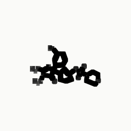 CN1C(=O)C(c2cccc(Br)c2)(c2cccc(OS(=O)(=O)N3CCOCC3)c2)N=C1N